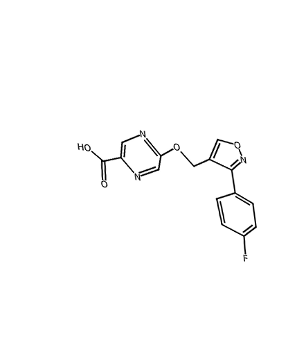 O=C(O)c1cnc(OCc2conc2-c2ccc(F)cc2)cn1